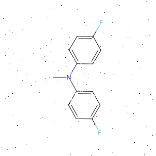 CN(c1ccc(F)cc1)c1ccc(F)cc1